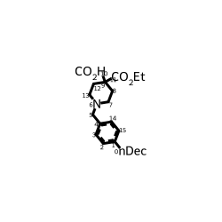 CCCCCCCCCCc1ccc(CN2CCC(C(=O)O)(C(=O)OCC)CC2)cc1